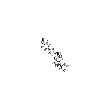 Cc1c(OC(=O)NC2CCN(c3ccc(OC(F)(F)F)cc3)C2)cnn1-c1ccccc1